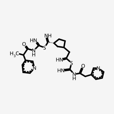 CC(C(=O)NC(=N)SC(=N)[C@@H]1CCC(CC(=N)SC(=N)NC(=O)Cc2cccnc2)C1)c1cccnc1